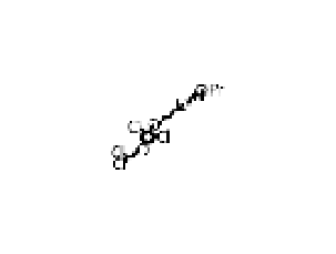 CC(C)ON=CCOCCCCCOc1c(Cl)cc(OCC=C(Cl)Cl)cc1Cl